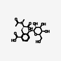 CC(=O)N(C)[C@@H](Cc1c(O[C@@H]2O[C@H](CO)[C@H](O)[C@H](O)[C@H]2O)cccc1C(=O)O)C(=O)O